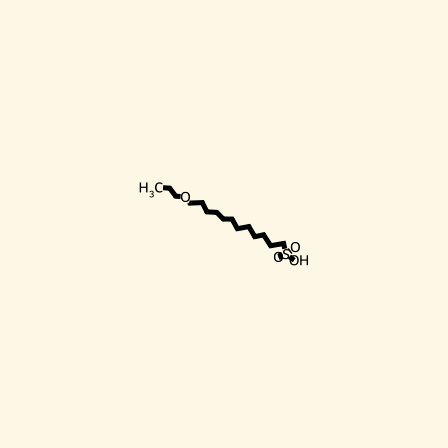 CCCOCCCCCCCCCCCCS(=O)(=O)O